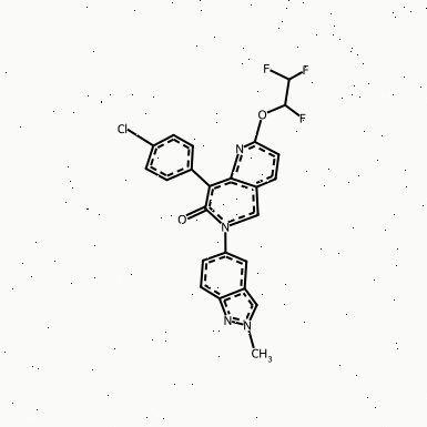 Cn1cc2cc(-n3cc4ccc(OC(F)C(F)F)nc4c(-c4ccc(Cl)cc4)c3=O)ccc2n1